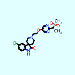 C[C@H](c1ncc(OCCN2CCC3(CC2)C(=O)Nc2ccc(Cl)cc23)cn1)S(C)(=O)=O